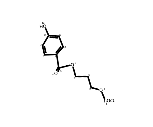 CCCCCCCCOCCCOC(=O)c1ccc(O)cc1